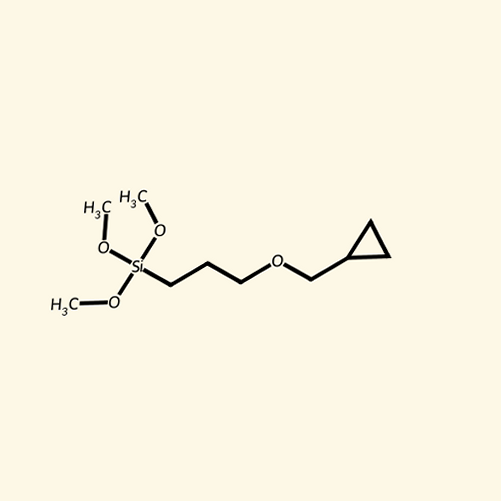 CO[Si](CCCOCC1CC1)(OC)OC